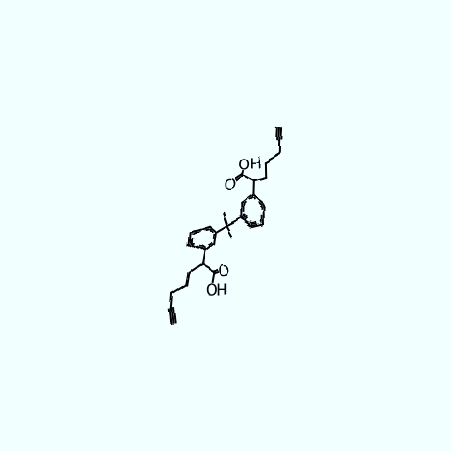 C#CCCCC(C(=O)O)c1cccc(C(C)(C)c2cccc(C(CCCC#C)C(=O)O)c2)c1